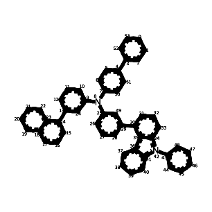 c1ccc(-c2ccc(N(c3cccc(-c4cccc5ccccc45)c3)c3cccc(-c4cccc5c4c4ccccc4n5-c4ccccc4)c3)cc2)cc1